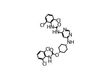 O=C(Nc1cc(N[C@H]2CC[C@H](OC(=O)Nc3c(Cl)cccc3Cl)CC2)ncn1)Nc1c(Cl)cccc1Cl